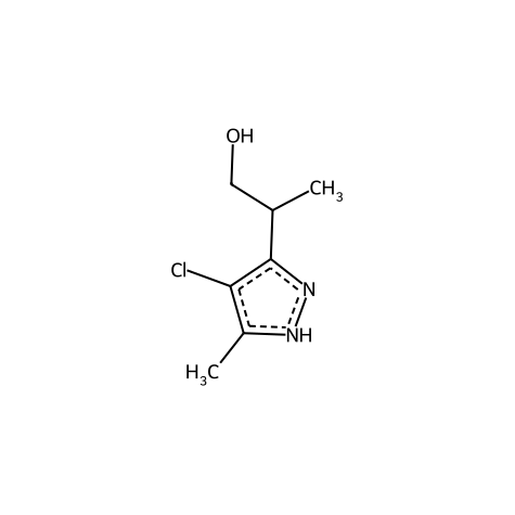 Cc1[nH]nc(C(C)CO)c1Cl